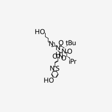 CC(C)C[C@H]1ON(C(=O)/C=C/c2nc3cc(O)ccc3s2)[C@H]2CN(C3CN(CCCCO)C3)C(=O)[C@H](CC(C)(C)C)N2C1=O